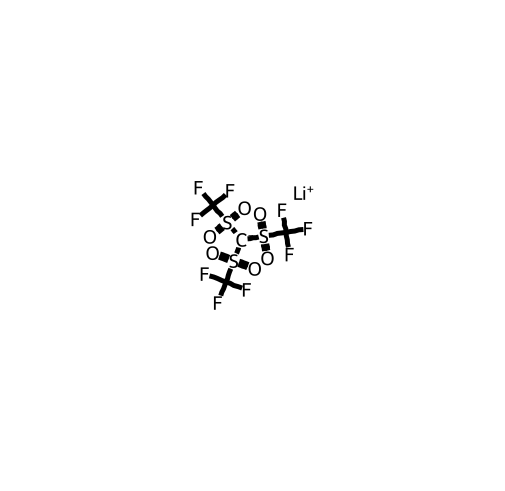 O=S(=O)([C-](S(=O)(=O)C(F)(F)F)S(=O)(=O)C(F)(F)F)C(F)(F)F.[Li+]